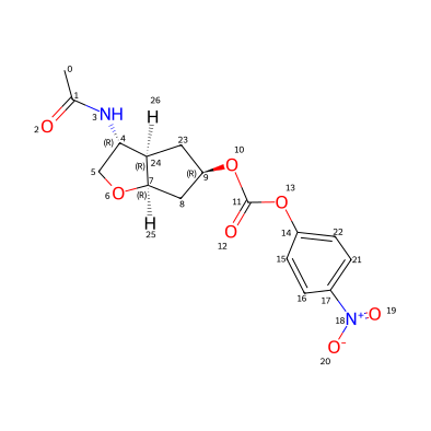 CC(=O)N[C@H]1CO[C@@H]2C[C@H](OC(=O)Oc3ccc([N+](=O)[O-])cc3)C[C@H]12